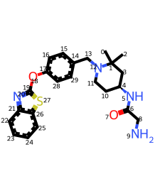 CC1(C)C[C@@H](NC(=O)CN)CCN1Cc1ccc(Oc2nc3ccccc3s2)cc1